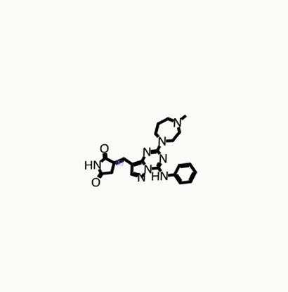 CN1CCCN(c2nc(Nc3ccccc3)n3ncc(/C=C4\CC(=O)NC4=O)c3n2)CC1